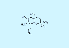 C=CCc1c(C)c(O)c(C)c2c1OC(C)(C)CC2